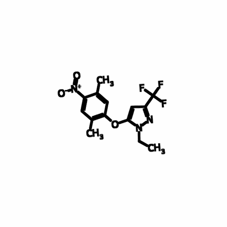 CCn1nc(C(F)(F)F)cc1Oc1cc(C)c([N+](=O)[O-])cc1C